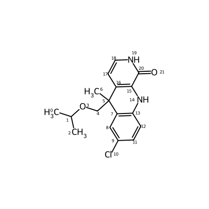 CC(C)OCC1(C)c2cc(Cl)ccc2Nc2c1cc[nH]c2=O